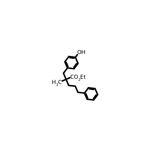 CCOC(=O)C(C)(CCCc1ccccc1)Cc1ccc(O)cc1